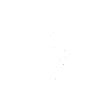 CC(O)CCOc1ccc2c(Oc3c(F)cc(NC(=O)c4cnccc4OC4CC4)cc3F)ccnc2c1